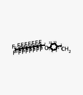 C=Cc1ccc(OCC(F)(F)C(F)(F)C(F)(F)C(F)(F)C(F)(F)C(F)(F)C(F)(F)C(F)F)cc1